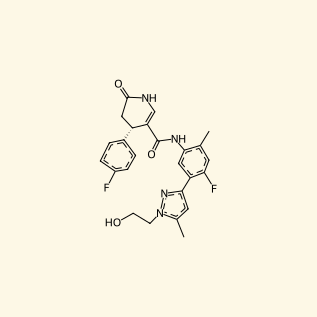 Cc1cc(F)c(-c2cc(C)n(CCO)n2)cc1NC(=O)C1=CNC(=O)C[C@H]1c1ccc(F)cc1